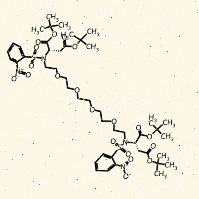 CC(C)(C)OC(=O)C[C@@H](C(=O)OC(C)(C)C)N(CCOCCOCCOCCOCCN([C@@H](CC(=O)OC(C)(C)C)C(=O)OC(C)(C)C)S(=O)(=O)c1ccccc1[N+](=O)[O-])S(=O)(=O)c1ccccc1[N+](=O)[O-]